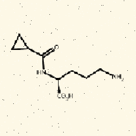 NCCC[C@H](NC(=O)C1CC1)C(=O)O